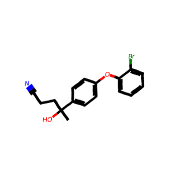 CC(O)(CCC#N)c1ccc(Oc2ccccc2Br)cc1